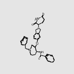 O=C1CCC(N2Cc3ccc(OC4CN(Cc5ccccc5)CCC4NC(=O)c4ccccc4)cc3C2)C(=O)N1